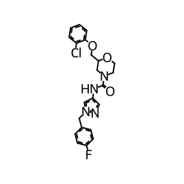 O=C(Nc1cnn(Cc2ccc(F)cc2)c1)N1CCOC(COc2ccccc2Cl)C1